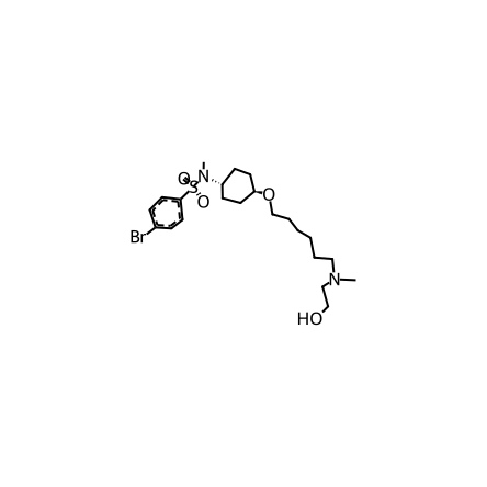 CN(CCO)CCCCCCO[C@H]1CC[C@H](N(C)S(=O)(=O)c2ccc(Br)cc2)CC1